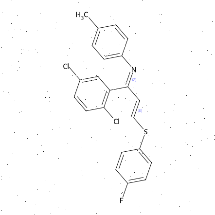 Cc1ccc(/N=C(/C=C/Sc2ccc(F)cc2)c2cc(Cl)ccc2Cl)cc1